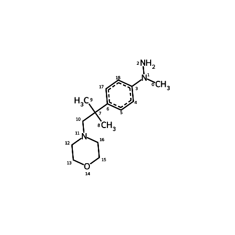 CN(N)c1ccc(C(C)(C)CN2CCOCC2)cc1